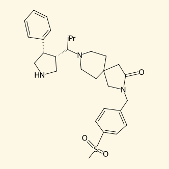 CC(C)C([C@@H]1CNC[C@@H]1c1ccccc1)N1CCC2(CC1)CC(=O)N(Cc1ccc(S(C)(=O)=O)cc1)C2